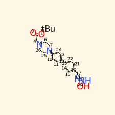 CC(C)(C)OC(=O)CN1CCN(c2ccc(-c3ccc(C=NNO)cc3)cc2)CC1